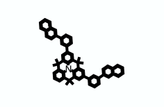 CC1(C)c2cccc3c2N2c4c1cc(-c1cccc(-c5ccc6ccccc6c5)c1)cc4C(C)(C)c1cc(-c4cccc(-c5ccc6ccccc6c5)c4)cc(c12)C3(C)C